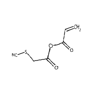 C=CC(=O)OC(=O)CSC#N